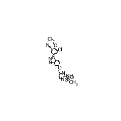 CS(=O)(=O)Nc1nccc(COc2ccc3c(c2)nnn3-c2cc(Cl)c(OCCCl)c(C#N)c2)n1